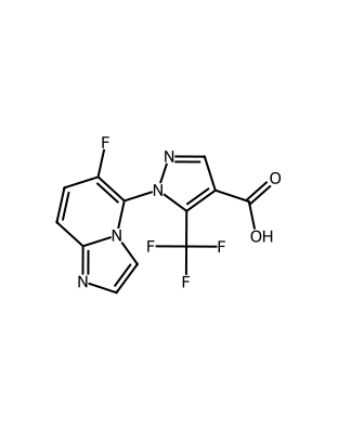 O=C(O)c1cnn(-c2c(F)ccc3nccn23)c1C(F)(F)F